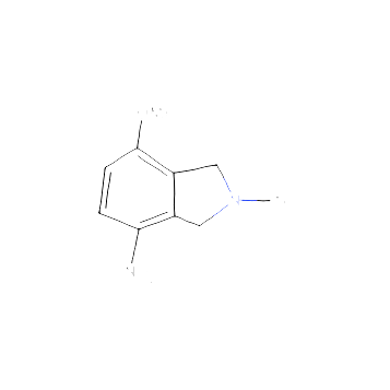 COc1ccc([N+](=O)[O-])c2c1CN(C(C)=O)C2